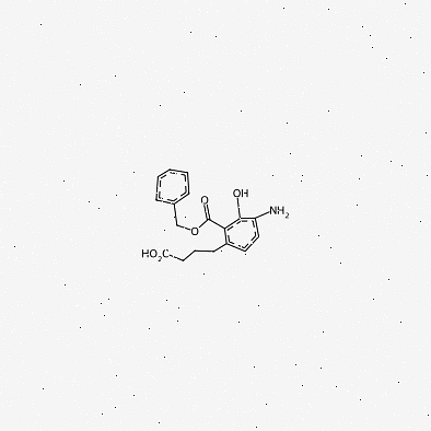 Nc1ccc(CCCC(=O)O)c(C(=O)OCc2ccccc2)c1O